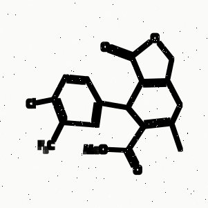 COC(=O)C1=C(C)CC2=C(C(=O)OC2)C1c1ccc(Cl)c(C(F)(F)F)c1